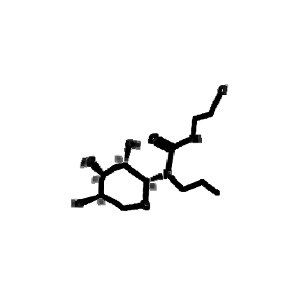 CCCN(C(=O)NCCCl)[C@@H]1OC[C@@H](O)[C@@H](O)[C@@H]1O